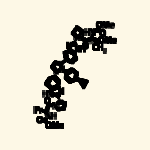 COC(=O)N[C@H](C(=O)N1CCC[C@H]1c1nc2cc([C@@H]3CC[C@@H](c4ccc5[nH]c([C@@H]6CCCN6C(=O)[C@@H](NC(=O)OC)[C@@H](C)OC)nc5c4)N3c3ccc(C4CC4)cc3)ccc2[nH]1)C(C)C